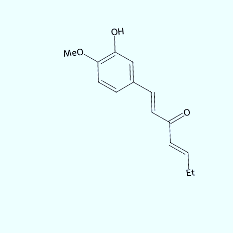 CC/C=C/C(=O)/C=C/c1ccc(OC)c(O)c1